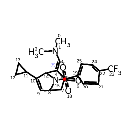 CN(C)/C=C1/C(=O)CC2C=C(C3CC3)C1N2S(=O)(=O)c1ccc(C(F)(F)F)cc1